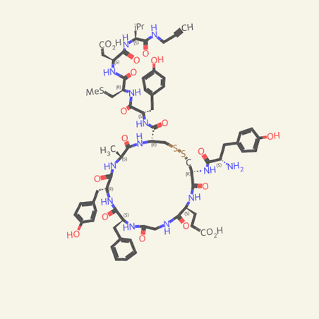 C#CCNC(=O)[C@@H](NC(=O)[C@H](CC(=O)O)NC(=O)[C@H](CSC)NC(=O)[C@H](Cc1ccc(O)cc1)NC(=O)[C@@H]1CSSC[C@H](NC(=O)[C@@H](N)Cc2ccc(O)cc2)C(=O)N[C@@H](CCC(=O)O)C(=O)NCC(=O)N[C@@H](Cc2ccccc2)C(=O)N[C@H](Cc2ccc(O)cc2)C(=O)N[C@@H](C)C(=O)N1)C(C)C